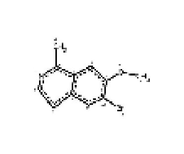 COc1cc2c(C)nccc2cc1Br